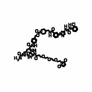 CC(C)[C@H](NC(=O)CCOCCOCCOCCN1C(=O)C=CC1=O)C(=O)N[C@@H](CCCNC(N)=O)C(=O)Nc1ccc(COC(=O)N2CCC(CNC(=O)c3cccc(-n4cc(NC(=O)Nc5ccccc5Cl)cn4)c3)CC2)cc1